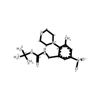 Cc1cc([N+](=O)[O-])cc(CNC(=O)OC(C)(C)C)c1N1CCOCC1